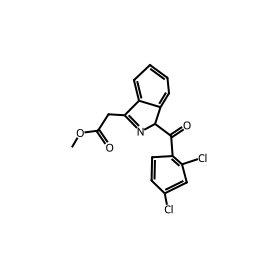 COC(=O)CC1=NC(C(=O)c2ccc(Cl)cc2Cl)c2ccccc21